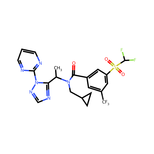 CC(c1ncnn1-c1ncccn1)N(CC1CC1)C(=O)c1cc(C(F)(F)F)cc(S(=O)(=O)C(F)F)c1